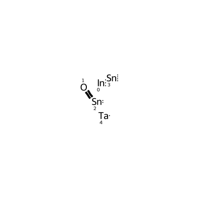 [In].[O]=[Sn].[Sn].[Ta]